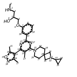 CNCC(O)COc1cccc(-c2nc(-c3c(C)noc3C)c(C)c(N3CCC4(CC3)CN(C3CC3)C4)n2)c1